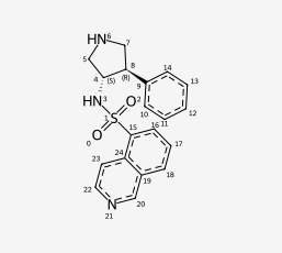 O=S(=O)(N[C@@H]1CNC[C@H]1c1ccccc1)c1cccc2cnccc12